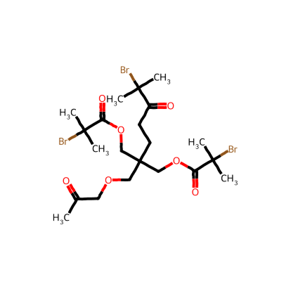 CC(=O)COCC(CCC(=O)C(C)(C)Br)(COC(=O)C(C)(C)Br)COC(=O)C(C)(C)Br